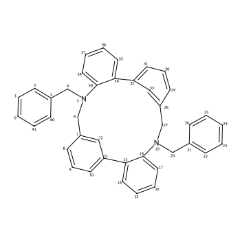 c1ccc(CN2Cc3cccc(c3)-c3ccccc3N(Cc3ccccc3)Cc3cccc(c3)-c3ccccc32)cc1